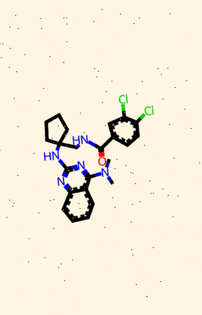 CN(C)c1nc(NC2(CNC(=O)c3ccc(Cl)c(Cl)c3)CCCC2)nc2ccccc12